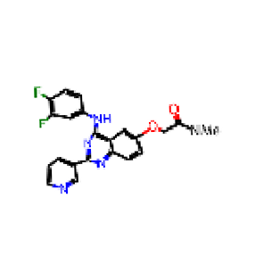 CNC(=O)COc1ccc2nc(-c3cccnc3)nc(Nc3ccc(F)c(F)c3)c2c1